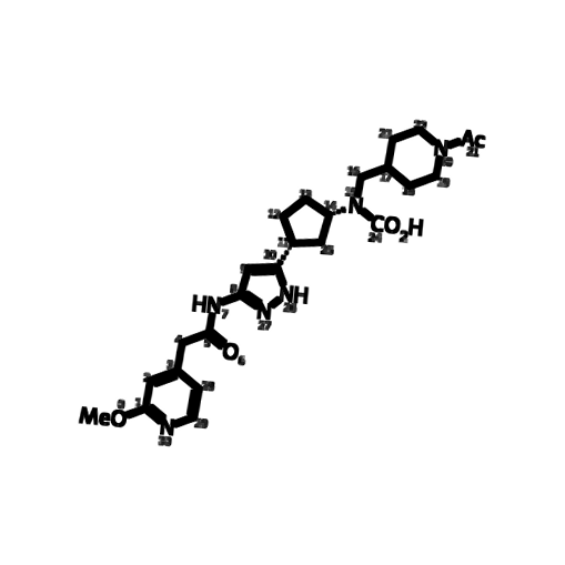 COc1cc(CC(=O)Nc2cc([C@@H]3CC[C@H](N(CC4CCN(C(C)=O)CC4)C(=O)O)C3)[nH]n2)ccn1